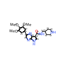 COc1cc(-c2cnc3[nH]cc(C(=O)NCC4CCNCC4)c3n2)cc(OC)c1OC